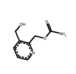 NC(=O)OCc1ncccc1CO